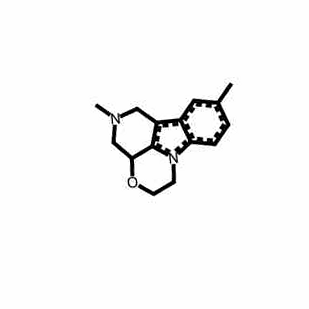 Cc1ccc2c(c1)c1c3n2CCOC3CN(C)C1